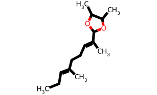 CC/C=C(\C)CC/C=C(\C)C1OC(C)C(C)O1